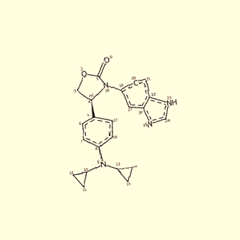 O=C1OC[C@H](c2ccc(N(C3CC3)C3CC3)cc2)N1c1ccc2[nH]cnc2c1